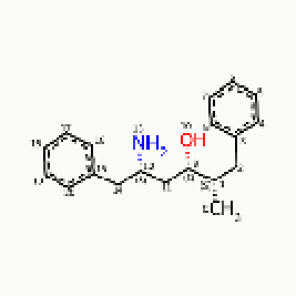 C[C@@H](Cc1ccccc1)[C@@H](O)C[C@@H](N)Cc1ccccc1